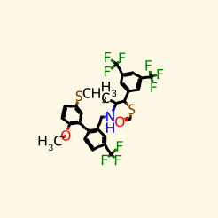 COc1ccc(SC)cc1-c1ccc(C(F)(F)F)cc1CNC(C)C(SC=O)c1cc(C(F)(F)F)cc(C(F)(F)F)c1